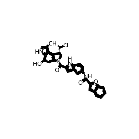 Cc1c[nH]c2c(O)cc3c(c12)[C@H](CCl)CN3C(=O)c1cc2cc(NC(=O)c3cc4ccccc4o3)ccc2[nH]1